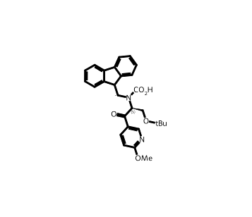 COc1ccc(C(=O)[C@H](COC(C)(C)C)N([CH]C2c3ccccc3-c3ccccc32)C(=O)O)cn1